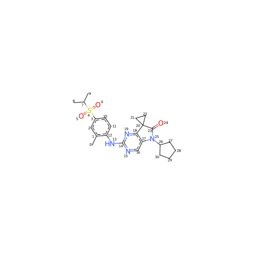 Cc1cc(S(=O)(=O)C(C)C)ccc1Nc1ncc2c(n1)C1(CC1)C(=O)N2C1CCCC1